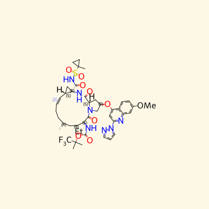 CC[C@@H]1C[C@H](C)CC/C=C\[C@@H]2C[C@@]2(C(=O)NS(=O)(=O)C2(C)CC2)NC(=O)[C@@H]2C[C@@H](Oc3cc(-n4cccn4)nc4cc(OC)ccc34)CN2C(=O)[C@H]1NC(=O)OC(C)(C)C(F)(F)F